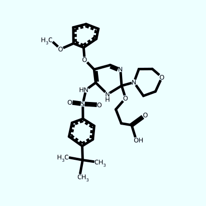 COc1ccccc1OC1=C(NS(=O)(=O)c2ccc(C(C)(C)C)cc2)NC(OCCC(=O)O)(N2CCOCC2)N=C1